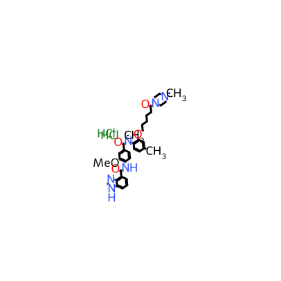 COc1cc(C(=O)N(C)c2ccc(C)cc2OCCCCCC(=O)N2CCN(C)CC2)ccc1NC(=O)c1cccc2[nH]cnc12.Cl.Cl